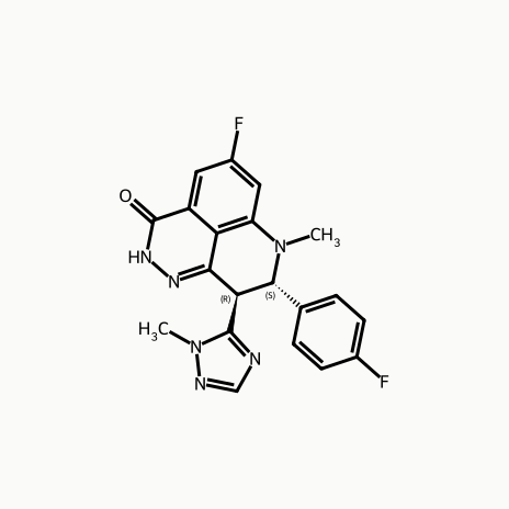 CN1c2cc(F)cc3c(=O)[nH]nc(c23)[C@H](c2ncnn2C)[C@H]1c1ccc(F)cc1